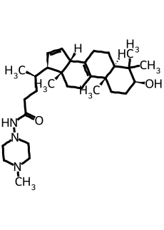 C[C@H](CCC(=O)NN1CCN(C)CC1)[C@H]1C=C[C@@H]2C3=C(CC[C@@]21C)[C@@]1(C)CC[C@H](O)C(C)(C)[C@@H]1CC3